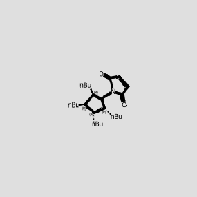 CCCC[C@@H]1[C@@H](CCCC)[C@@H](CCCC)C(N2C(=O)C=CC2=O)[C@@H]1CCCC